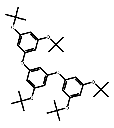 CC(C)(C)Oc1cc(Oc2cc(OC(C)(C)C)cc(OC(C)(C)C)c2)cc(Oc2cc(OC(C)(C)C)cc(OC(C)(C)C)c2)c1